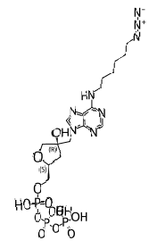 [N-]=[N+]=NCCCCCCNc1ncnc2c1ncn2C[C@@]1(O)CO[C@H](COP(=O)(O)OP(=O)(O)OP(=O)(O)O)C1